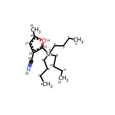 CCC[CH2][Sn]([CH2]CCC)([CH2]CCC)[c]1oc(C)cc1C#N